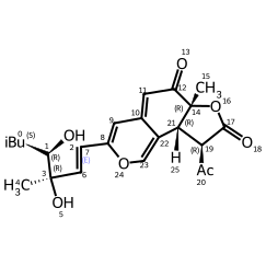 CC[C@H](C)[C@@H](O)[C@](C)(O)/C=C/C1=CC2=CC(=O)[C@]3(C)OC(=O)[C@@H](C(C)=O)[C@@H]3C2=CO1